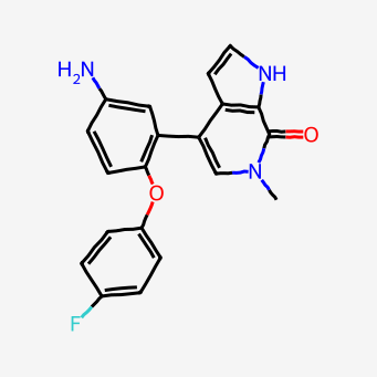 Cn1cc(-c2cc(N)ccc2Oc2ccc(F)cc2)c2cc[nH]c2c1=O